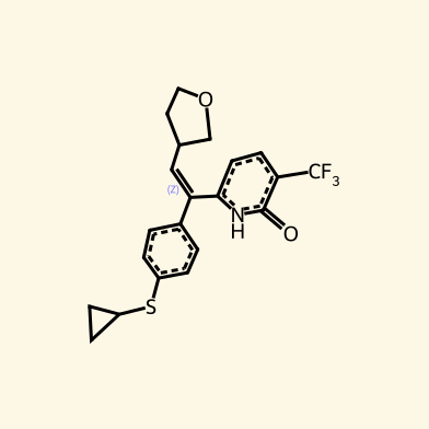 O=c1[nH]c(/C(=C\C2CCOC2)c2ccc(SC3CC3)cc2)ccc1C(F)(F)F